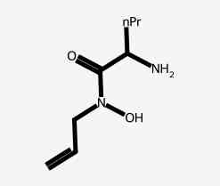 C=CCN(O)C(=O)C(N)CCC